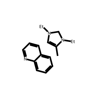 CCN1C=C(C)N(CC)C1.c1ccc2ncccc2c1